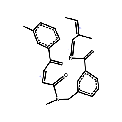 C=C(/C=C\C(=O)N(C)Cc1cccc(C(=C)/N=C\C(C)=C/C)c1)c1cccc(C)c1